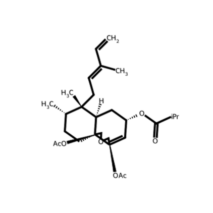 C=C/C(C)=C/C[C@]1(C)[C@H]2C[C@H](OC(=O)C(C)C)C=C3[C@H](OC(C)=O)O[C@H](OC(C)=O)[C@@]32CC[C@@H]1C